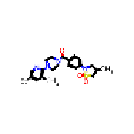 CCc1cnc(N2CCN(C(=O)c3ccc(N4CC(C)CS4(=O)=O)cc3)CC2)c(C)c1